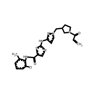 C=CC(=O)N1CCC(Cn2ccc(Nc3ncc(C(=O)Nc4c(C)cccc4Cl)s3)n2)C1